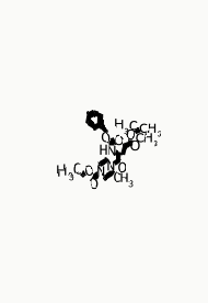 CCOC(=O)N1CCN(C(=O)[C@H](CCC(=O)OC(C)(C)C)NC(=O)OCc2ccccc2)C(C)C1